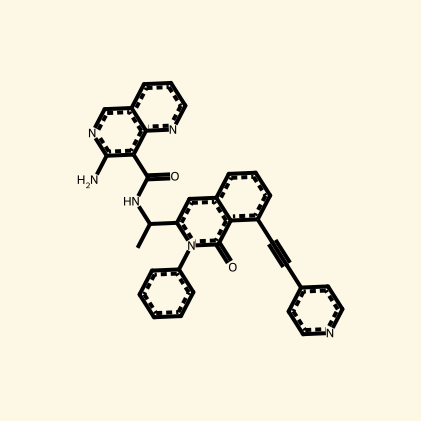 CC(NC(=O)c1c(N)ncc2cccnc12)c1cc2cccc(C#Cc3ccncc3)c2c(=O)n1-c1ccccc1